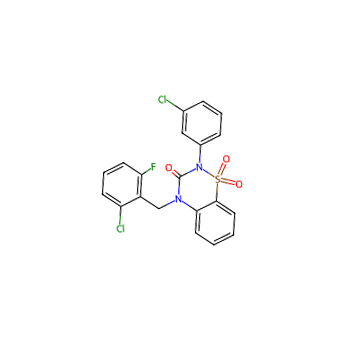 O=C1N(Cc2c(F)cccc2Cl)c2ccccc2S(=O)(=O)N1c1cccc(Cl)c1